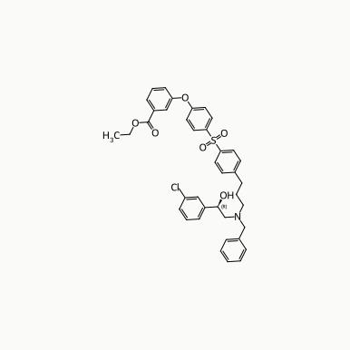 CCOC(=O)c1cccc(Oc2ccc(S(=O)(=O)c3ccc(CCCN(Cc4ccccc4)C[C@H](O)c4cccc(Cl)c4)cc3)cc2)c1